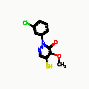 COc1c(S)cnn(-c2cccc(Cl)c2)c1=O